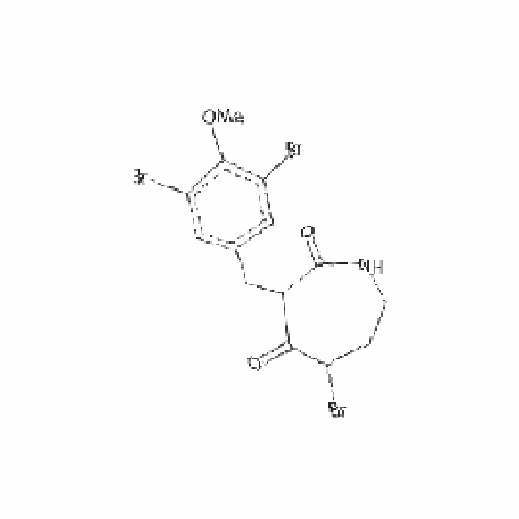 COc1c(Br)cc(CC2C(=O)NCCC(Br)C2=O)cc1Br